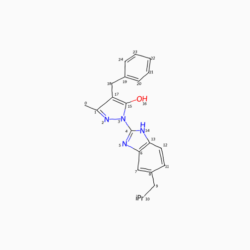 Cc1nn(-c2nc3cc(CC(C)C)ccc3[nH]2)c(O)c1Cc1ccccc1